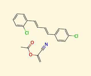 C=C(C#N)OC(C)=O.Clc1ccc(C=CC=Cc2ccccc2Cl)cc1